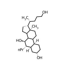 CCC[C@H]1[C@@H]2C[C@@H](O)CC[C@@H]2C2CC[C@@]3(C)C(CC[C@@H]3[C@H](C)CCCO)C2[C@@H]1O